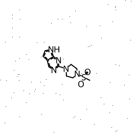 CS(=O)(=O)N1CCN(c2ncc3cc[nH]c3n2)CC1